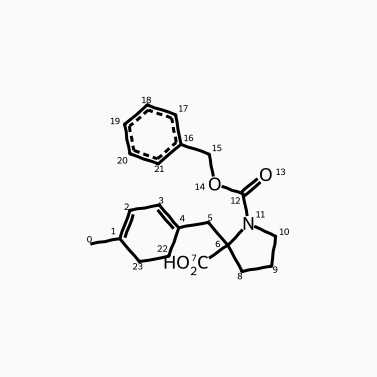 CC1=CC=C(CC2(C(=O)O)CCCN2C(=O)OCc2ccccc2)CC1